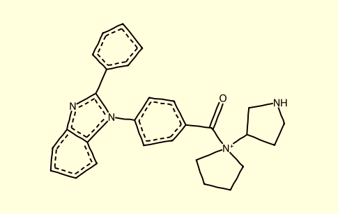 O=C(c1ccc(-n2c(-c3ccccc3)nc3ccccc32)cc1)[N+]1(C2CCNC2)CCCC1